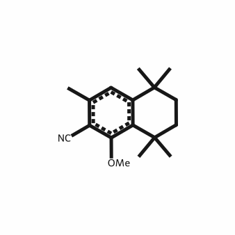 COc1c(C#N)c(C)cc2c1C(C)(C)CCC2(C)C